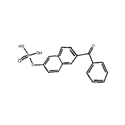 O=C(c1ccccc1)c1ccc2cc(OP(=O)(O)O)ccc2c1